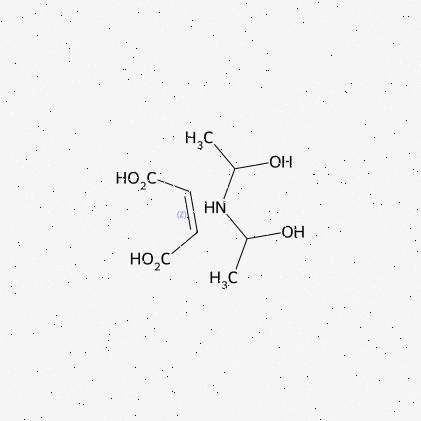 CC(O)NC(C)O.O=C(O)/C=C\C(=O)O